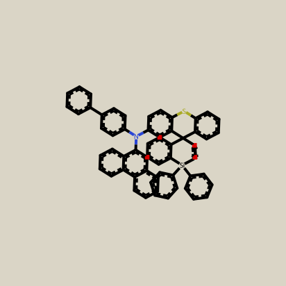 c1ccc(-c2ccc(N(c3ccc4c(c3)C3(c5ccccc5S4)c4ccccc4[Si](c4ccccc4)(c4ccccc4)c4ccccc43)c3cc4ccccc4c4ccccc34)cc2)cc1